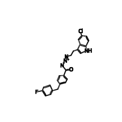 O=C(N=[N+]=NCCc1c[nH]c2ccc(Cl)cc12)c1ccc(Cc2ccc(F)cc2)cc1